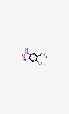 Cc1cc2c(cc1C)[Te]ON2